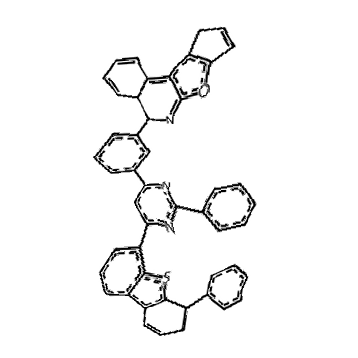 C1=CC2=c3c4c(oc3=NC(c3cccc(-c5cc(-c6cccc7c8c(sc67)C(c6ccccc6)CC=C8)nc(-c6ccccc6)n5)c3)C2C=C1)C=CC4